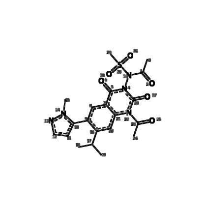 CC(=O)N(n1c(=O)c2cc(-c3ccnn3C)c(C(C)C)cc2n(C(C)=O)c1=O)S(C)(=O)=O